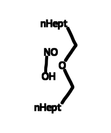 CCCCCCCCOCCCCCCCC.O=NO